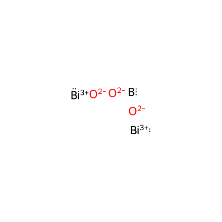 [B].[Bi+3].[Bi+3].[O-2].[O-2].[O-2]